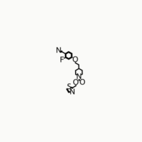 N#Cc1ccc(OCCC2CCN(C(=O)OCc3nccs3)CC2)cc1F